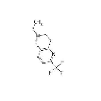 CCN1CCc2nc(C(F)(F)F)ccc2C1